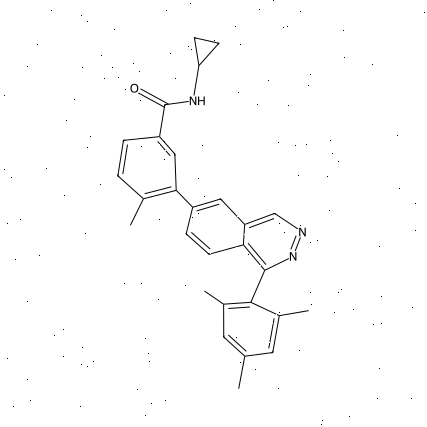 Cc1cc(C)c(-c2nncc3cc(-c4cc(C(=O)NC5CC5)ccc4C)ccc23)c(C)c1